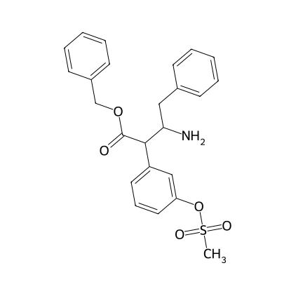 CS(=O)(=O)Oc1cccc(C(C(=O)OCc2ccccc2)C(N)Cc2ccccc2)c1